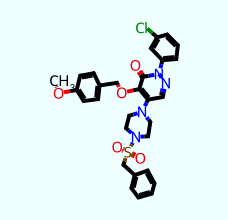 COc1ccc(COc2c(N3CCN(S(=O)(=O)Cc4ccccc4)CC3)cnn(-c3cccc(Cl)c3)c2=O)cc1